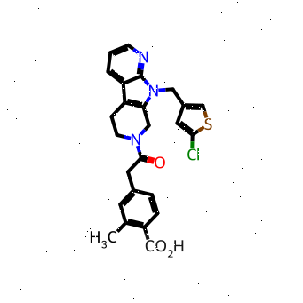 Cc1cc(CC(=O)N2CCc3c(n(Cc4csc(Cl)c4)c4ncccc34)C2)ccc1C(=O)O